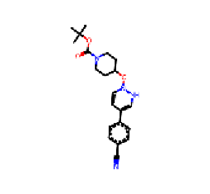 CC(C)(C)OC(=O)N1CCC(ON2C=CC(c3ccc(C#N)cc3)=CN2)CC1